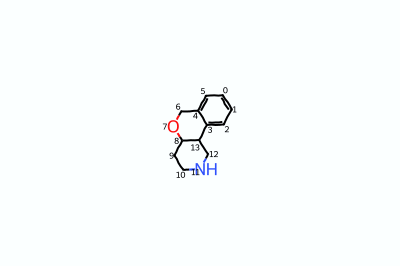 c1ccc2c(c1)COC1CCNCC21